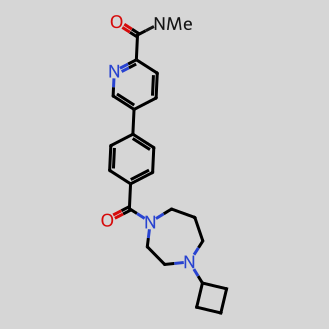 CNC(=O)c1ccc(-c2ccc(C(=O)N3CCCN(C4CCC4)CC3)cc2)cn1